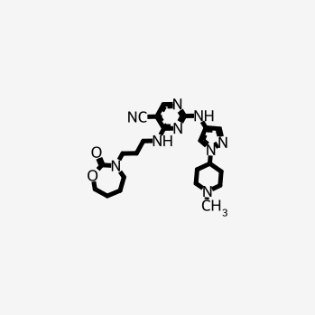 CN1CCC(n2cc(Nc3ncc(C#N)c(NCCCN4CCCCOC4=O)n3)cn2)CC1